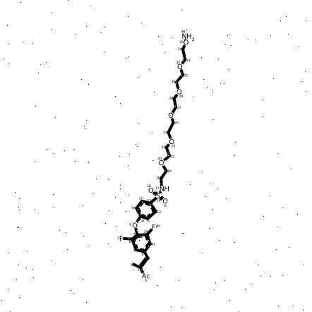 CC(=O)/C(C)=C/c1cc(F)c(Oc2ccc(S(=O)(=O)NCCOCCOCCOCCOCCOCCON)cc2)c(F)c1